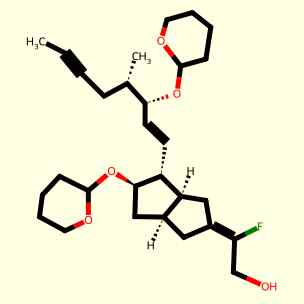 CC#CC[C@H](C)[C@@H](/C=C/[C@@H]1[C@H]2CC(=C(F)CO)C[C@H]2C[C@H]1OC1CCCCO1)OC1CCCCO1